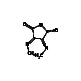 C/N=c1/c(=O)oc(=O)/c1=N/C